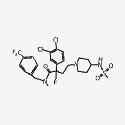 CN(Cc1ccc(C(F)(F)F)cc1)C(=O)C(F)(CCN1CCC(NS(C)(=O)=O)CC1)c1ccc(Cl)c(Cl)c1